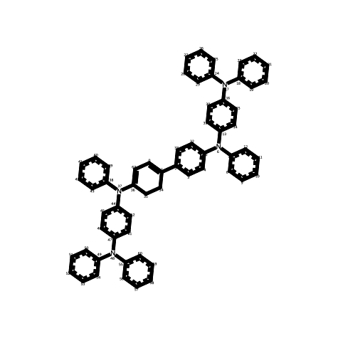 C1=C(c2ccc(N(c3ccccc3)c3ccc(N(c4ccccc4)c4ccccc4)cc3)cc2)CCC(N(c2ccccc2)c2ccc(N(c3ccccc3)c3ccccc3)cc2)=C1